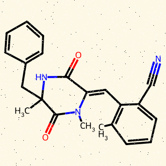 Cc1cccc(C#N)c1/C=C1/C(=O)NC(C)(Cc2ccccc2)C(=O)N1C